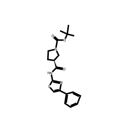 CC(C)(C)OC(=O)N1CC[C@H](C(=O)Nc2nc(-c3ccccc3)cs2)C1